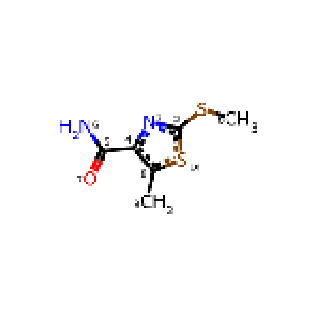 CSc1nc(C(N)=O)c(C)s1